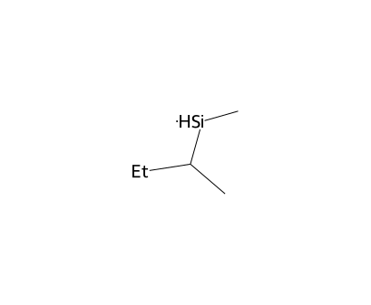 CCC(C)[SiH]C